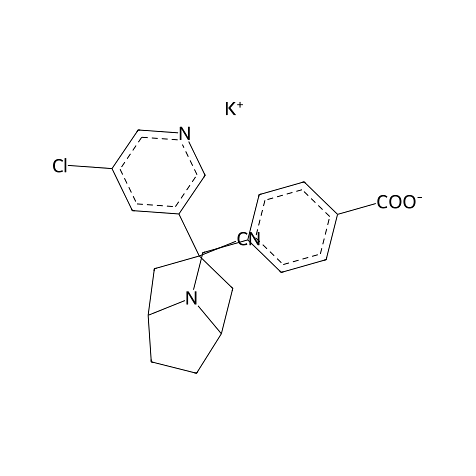 N#CC1(c2cncc(Cl)c2)CC2CCC(C1)N2Cc1ccc(C(=O)[O-])cc1.[K+]